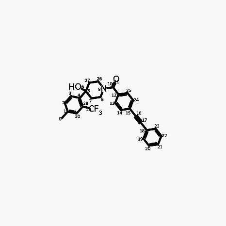 Cc1ccc(C2(O)CCN(C(=O)c3ccc(C#Cc4ccccc4)cc3)CC2)c(C(F)(F)F)c1